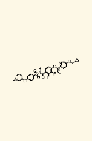 CC[C@@H](Oc1ccc(C(=O)NS(=O)(=O)c2ccc(O[C@@H]3CCCN(C)C3)cc2)c(F)c1F)c1ccc(OCC2CC2)cn1